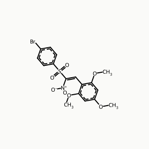 COc1cc(OC)c(C=C([N+](=O)[O-])S(=O)(=O)c2ccc(Br)cc2)c(OC)c1